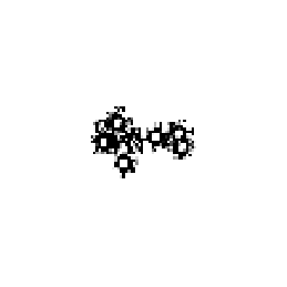 c1ccc(-c2nc(-c3ccc(-c4cccc5ccccc45)cc3)nc(-c3cccc4oc5cccnc5c34)n2)cc1